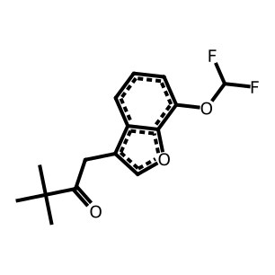 CC(C)(C)C(=O)Cc1coc2c(OC(F)F)cccc12